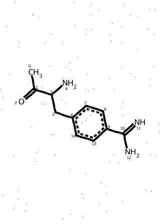 CC(=O)C(N)Cc1ccc(C(=N)N)cc1